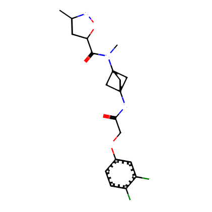 CC1CC(C(=O)N(C)C23CC(NC(=O)COc4ccc(Cl)c(F)c4)(C2)C3)ON1